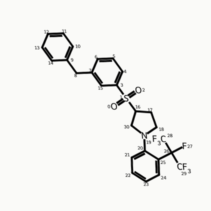 O=S(=O)(c1cccc(Cc2ccccc2)c1)C1CCN(c2ccccc2C(F)(C(F)(F)F)C(F)(F)F)C1